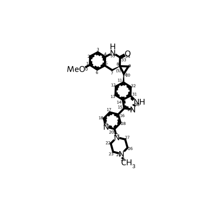 COc1ccc2c(c1)C[C@]1(C[C@H]1c1ccc3c(-c4ccnc(N5CCN(C)CC5)c4)n[nH]c3c1)C(=O)N2